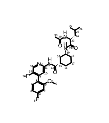 COc1cc(F)ccc1-c1cc(NC(=O)[C@H]2CCC[C@@H](NC(=O)[C@@H](CC(C)C)NC(C)=O)C2)ncc1F